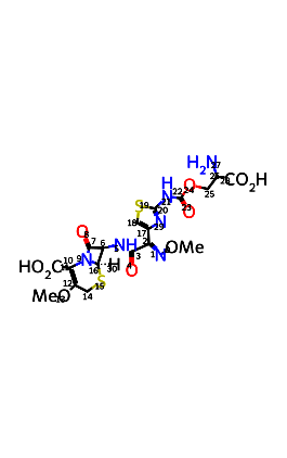 CO/N=C(/C(=O)N[C@@H]1C(=O)N2C(C(=O)O)=C(OC)CS[C@H]12)c1csc(NC(=O)OC[C@@H](N)C(=O)O)n1